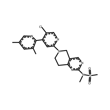 Cc1cnc(-c2cc(N3CCc4nc(N(C)S(C)(=O)=O)ncc4C3)ncc2Cl)c(C)c1